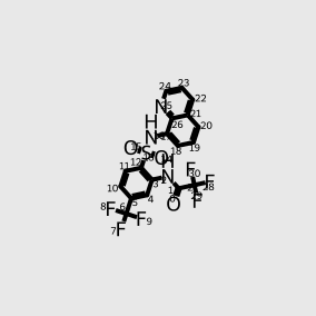 O=C(Nc1cc(C(F)(F)F)ccc1S(=O)(=O)Nc1cccc2cccnc12)C(F)(F)F